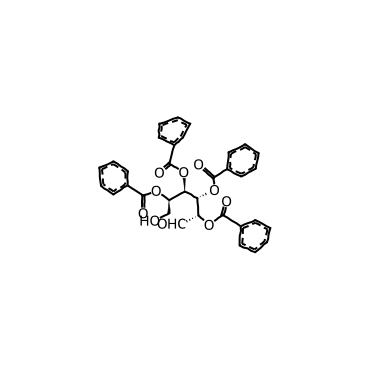 O=C[C@@H](OC(=O)c1ccccc1)[C@@H](OC(=O)c1ccccc1)[C@H](OC(=O)c1ccccc1)[C@@H](CO)OC(=O)c1ccccc1